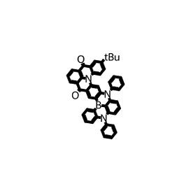 CC(C)(C)c1ccc2c(c1)c(=O)c1cccc3c(=O)c4cc5c(cc4n2c13)N(c1ccccc1)c1cccc2c1B5c1ccccc1N2c1ccccc1